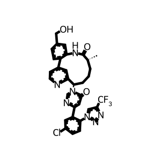 C[C@@H]1CCC[C@H](n2cnc(-c3cc(Cl)ccc3-n3cc(C(F)(F)F)nn3)cc2=O)c2cc(ccn2)-c2ccc(CO)cc2NC1=O